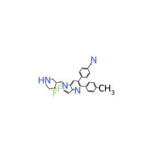 Cc1ccc(-c2nc3ccn(C[C@@H]4CNCCC4(F)F)c3cc2-c2ccc(C#N)cc2)cc1